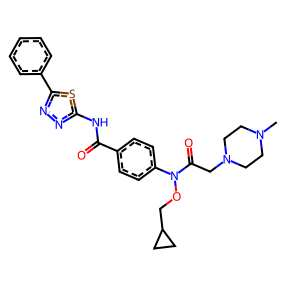 CN1CCN(CC(=O)N(OCC2CC2)c2ccc(C(=O)Nc3nnc(-c4ccccc4)s3)cc2)CC1